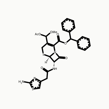 COC(OC(C)=O)C1=C(C(=O)OC(c2ccccc2)c2ccccc2)N2C(=O)[C@H](NC(=O)Cc3csc(N)n3)[C@H]2SC1